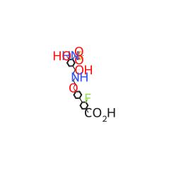 CS(=O)(=O)Nc1cc([C@H](O)CNCCOc2ccc(-c3ccc(C(=O)O)cc3F)cc2)ccc1O